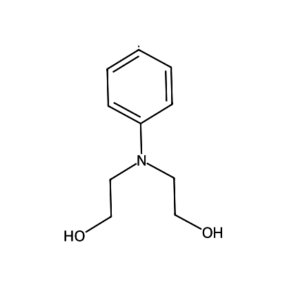 OCCN(CCO)c1cc[c]cc1